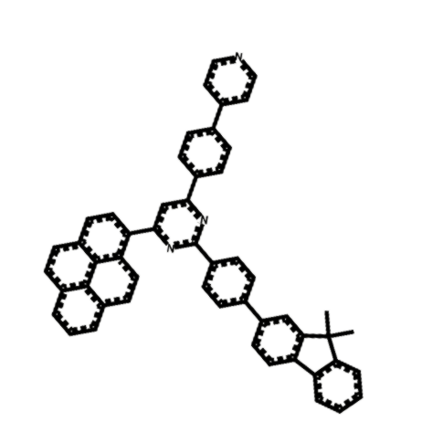 CC1(C)c2ccccc2-c2ccc(-c3ccc(-c4nc(-c5ccc(-c6ccncc6)cc5)cc(-c5ccc6ccc7cccc8ccc5c6c78)n4)cc3)cc21